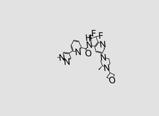 C[C@H]1CN(c2cnc(C(F)(F)F)c(NC(=O)c3cccc(-c4cnn(C)c4)n3)c2)CCN1C1COC1